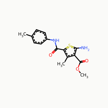 COC(=O)c1c(N)sc(C(=O)Nc2ccc(C)cc2)c1C